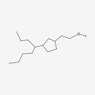 CCCCC(CCC)C1CCC(CCOI)C1